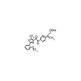 COCCN(C)c1ccc(NC(=O)c2nc(-c3ccccc3OC(F)(F)F)oc2C(F)(F)F)cn1